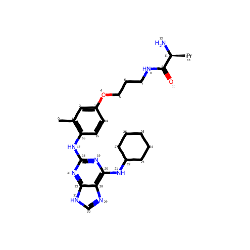 Cc1cc(OCCCNC(=O)[C@@H](N)C(C)C)ccc1Nc1nc(NC2CCCCC2)c2nc[nH]c2n1